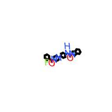 O=C(Nc1ccc(N2CCN(C(=O)c3ccccc3F)CC2)cc1)N1Cc2ccccc2C1